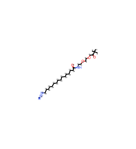 CC(C)(C)C(=O)COCCOCCNC(=O)CCCCCCCCCCCCCCCN=[N+]=[N-]